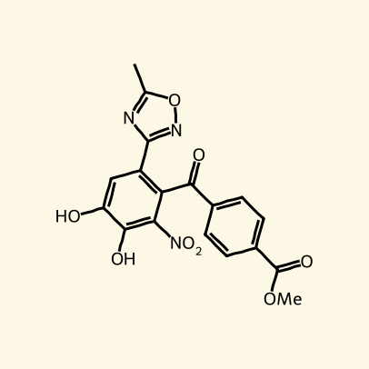 COC(=O)c1ccc(C(=O)c2c(-c3noc(C)n3)cc(O)c(O)c2[N+](=O)[O-])cc1